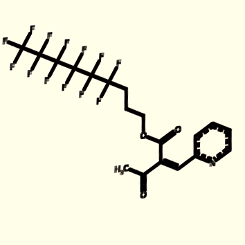 CC(=O)C(=Cc1ccccn1)C(=O)OCCCC(F)(F)C(F)(F)C(F)(F)C(F)(F)C(F)(F)C(F)(F)F